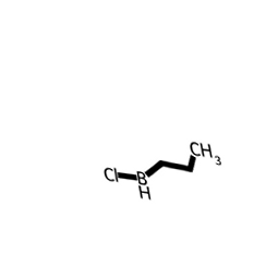 CCCBCl